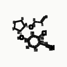 C=CCO[C@H]1CCC[C@H]1Oc1ccc(C#N)c(Cl)c1